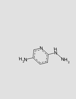 NNc1ccc(N)cn1